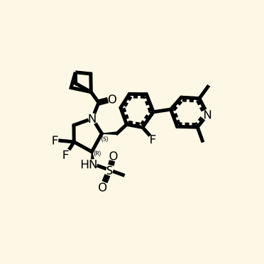 Cc1cc(-c2cccc(C[C@H]3[C@@H](NS(C)(=O)=O)C(F)(F)CN3C(=O)C34CC(C3)C4)c2F)cc(C)n1